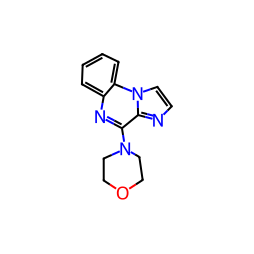 c1ccc2c(c1)nc(N1CCOCC1)c1nccn12